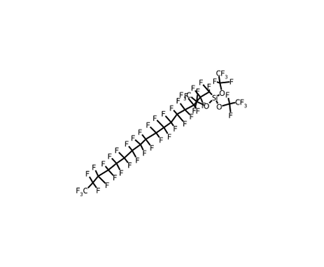 FC(F)(F)C(F)(F)O[Si](OC(F)(F)C(F)(F)F)(OC(F)(F)C(F)(F)F)C(F)(F)C(F)(F)C(F)(F)C(F)(F)C(F)(F)C(F)(F)C(F)(F)C(F)(F)C(F)(F)C(F)(F)C(F)(F)C(F)(F)C(F)(F)C(F)(F)C(F)(F)C(F)(F)C(F)(F)F